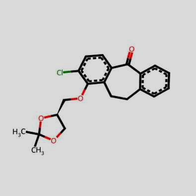 CC1(C)OC[C@H](COc2c(Cl)ccc3c2CCc2ccccc2C3=O)O1